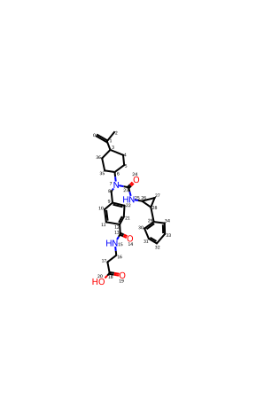 C=C(C)C1CCC(N(Cc2ccc(C(=O)NCCC(=O)O)cc2)C(=O)NC2CC2c2ccccc2)CC1